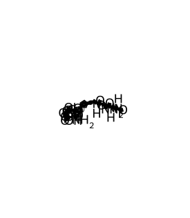 NCO[C@@H]1C[C@H](C2CCC(C#CCNC(=O)OCC(N)C(=O)NCCNC(=O)I)C2)OC1COP(=O)(O)OP(=O)(O)OP(=O)(O)O